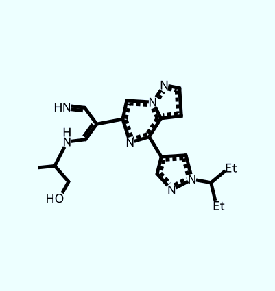 CCC(CC)n1cc(-c2nc(/C(C=N)=C/NC(C)CO)cn3nccc23)cn1